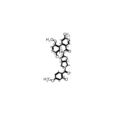 COc1ccc(C(=O)N2Cc3nc(NC(=O)c4cnc(C)cc4-c4cc(Cl)ncc4OC)sc3C2)c(Cl)c1